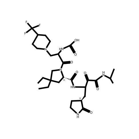 CCC1(CC)C[C@@H](C(=O)NC(C[C@@H]2CCNC2=O)C(=O)C(=O)NC(C)C)N(C(=O)C(CN2CCC(C(F)(F)F)CC2)NC(=O)O)C1